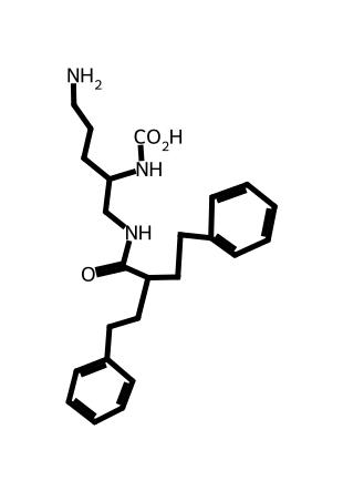 NCCCC(CNC(=O)C(CCc1ccccc1)CCc1ccccc1)NC(=O)O